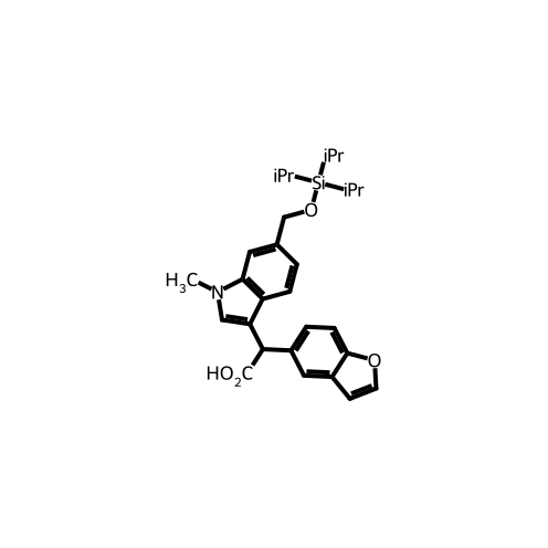 CC(C)[Si](OCc1ccc2c(C(C(=O)O)c3ccc4occc4c3)cn(C)c2c1)(C(C)C)C(C)C